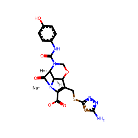 Nc1nnc(SCC2=C(C(=O)[O-])N3C(=O)[C@@H]4[C@H]3C2OCN4C(=O)Nc2ccc(O)cc2)s1.[Na+]